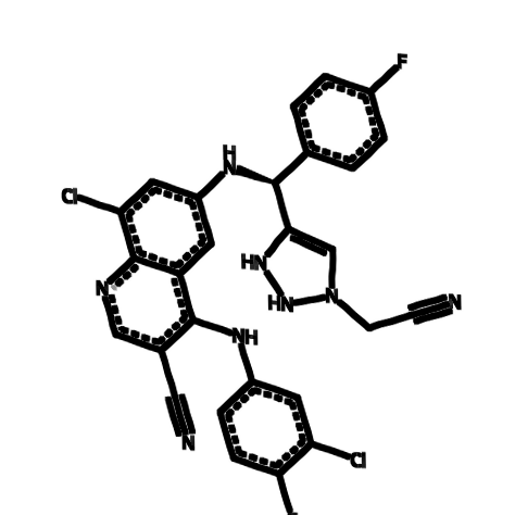 N#CCN1C=C([C@@H](Nc2cc(Cl)c3ncc(C#N)c(Nc4ccc(F)c(Cl)c4)c3c2)c2ccc(F)cc2)NN1